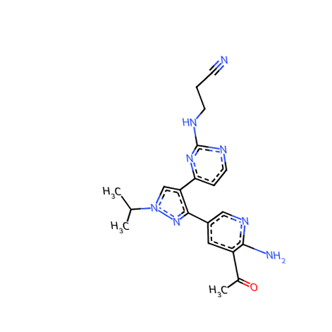 CC(=O)c1cc(-c2nn(C(C)C)cc2-c2ccnc(NCCC#N)n2)cnc1N